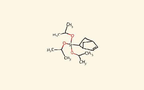 CC(C)O[Si](OC(C)C)(OC(C)C)C1CC2C=CC1C2